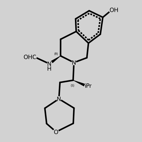 CC(C)[C@@H](CN1CCOCC1)N1Cc2cc(O)ccc2C[C@@H]1NC=O